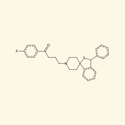 O=C(CCCN1CCC2(CC1)SC(c1ccccc1)c1ccccc12)c1ccc(F)cc1